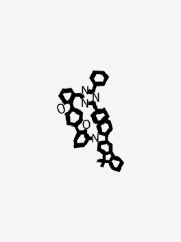 CC1(C)c2ccccc2-c2cc3c4ccccc4n(-c4cccc5c4oc4cc6c(cc45)oc4cccc(-c5nc(-c7ccccc7)nc(-c7ccccc7)n5)c46)c3cc21